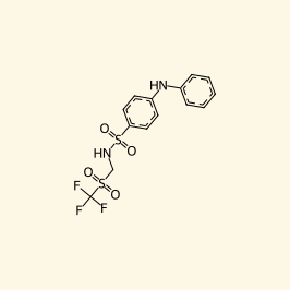 O=S(=O)(NCS(=O)(=O)C(F)(F)F)c1ccc(Nc2ccccc2)cc1